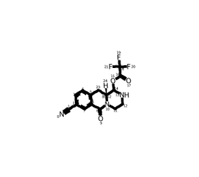 N#Cc1ccc2c(c1)C(=O)N1CCNC(OC(=O)C(F)(F)F)[C@H]1C2